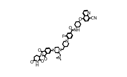 CN(C)C[C@H]1CN(c2ccc3c(c2)C(=O)N(C2CCC(=O)NC2=O)C3=O)CCN1CC1CCN(c2ccc(C(=O)N[C@H]3CC[C@H](Oc4ccc(C#N)c5ncccc45)CC3)cc2F)CC1